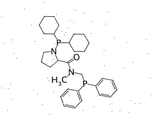 CN(CP(c1ccccc1)c1ccccc1)C(=O)C1CCCN1P(C1CCCCC1)C1CCCCC1